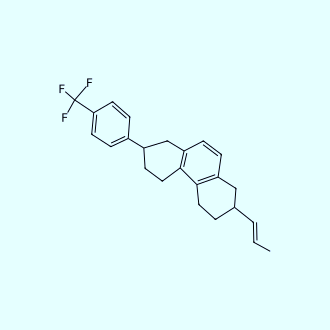 C/C=C/C1CCc2c(ccc3c2CCC(c2ccc(C(F)(F)F)cc2)C3)C1